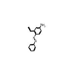 C=Cc1cc(N)ccc1/N=N/c1ccccc1